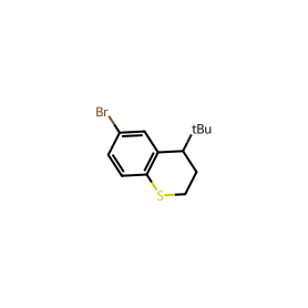 CC(C)(C)C1CCSc2ccc(Br)cc21